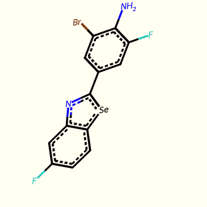 Nc1c(F)cc(-c2nc3cc(F)ccc3[se]2)cc1Br